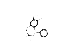 CCCC[C@@]1(CC)CN(c2ccccc2)c2cc(O)c(OC)cc2SN1